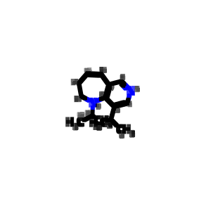 CC(C)c1cncc2c1N(C(C)C)CCC=C2